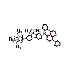 CC1(C)c2cc(B3OC(C)(C)C(C)(C)O3)ccc2-c2ccc(N(c3ccc(-c4ccccc4)cc3)c3ccccc3-c3ccccc3)cc21